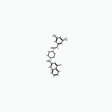 Cc1cc(N[C@H]2CC[C@@H](NCc3cc(Cl)cc(Cl)c3)CC2)nc2ccccc12